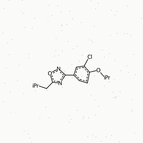 CC(C)Cc1nc(-c2ccc(OC(C)C)c(Cl)c2)no1